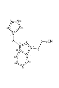 N#CCCn1cc(Cn2ccnc2)c2ccccc21